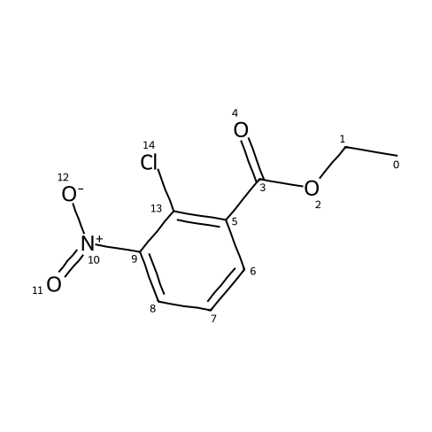 CCOC(=O)c1cccc([N+](=O)[O-])c1Cl